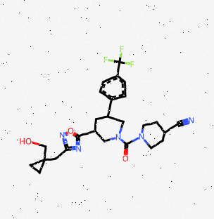 N#CC1CCN(C(=O)N2CC(c3ccc(C(F)(F)F)cc3)CC(c3nc(CC4(CO)CC4)no3)C2)CC1